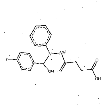 C=C(CCC(=O)O)NN(c1ccccc1)C(O)c1ccc(F)cc1